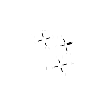 O=P([O-])([O-])O.O[Si](O)(O)O.O[Si](O)(O)O.[Ca+2]